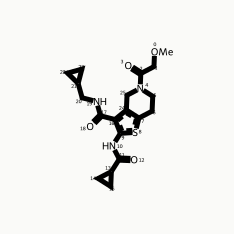 COCC(=O)N1CCc2sc(NC(=O)C3CC3)c(C(=O)NCC3CC3)c2C1